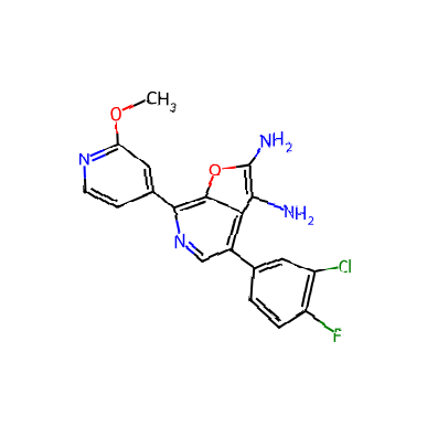 COc1cc(-c2ncc(-c3ccc(F)c(Cl)c3)c3c(N)c(N)oc23)ccn1